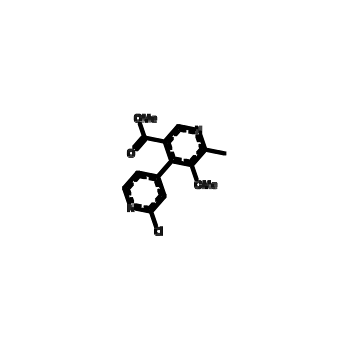 COC(=O)c1cnc(C)c(OC)c1-c1ccnc(Cl)c1